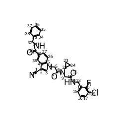 N#Cc1cn(CC(=O)N(CC(=O)NCc2cccc(Cl)c2F)C2CC2)c2ccc(C(=O)NCc3ccccc3)cc12